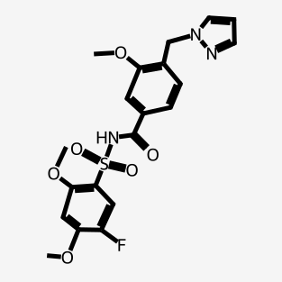 COc1cc(OC)c(S(=O)(=O)NC(=O)c2ccc(Cn3cccn3)c(OC)c2)cc1F